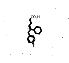 O=C(O)CC/C=C(/Cc1ccc(F)cc1)C1CCCCC1